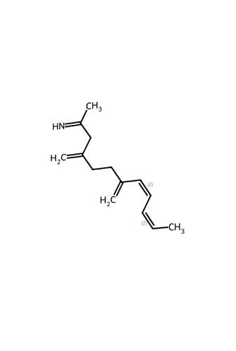 C=C(/C=C\C=C/C)CCC(=C)CC(C)=N